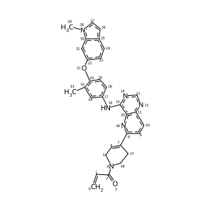 C=CC(=O)N1CC=C(c2ccc3ncnc(Nc4ccc(Oc5ccc6ccn(C)c6c5)c(C)c4)c3n2)CC1